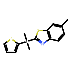 Cc1ccc2nc([Si](C)(C)c3cccs3)sc2c1